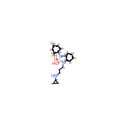 OS1(O)N(CCCNC2CC2)c2ccccc2N1c1ccc(F)cc1F